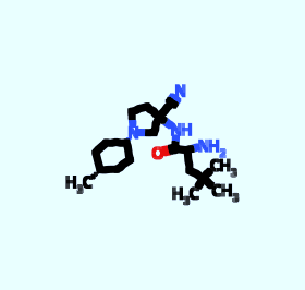 CC(C)(C)CC(N)C(=O)NC1(C#N)CCN([C@H]2CC[C@@H](C)CC2)C1